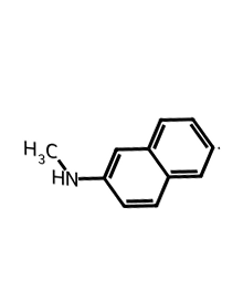 CNc1ccc2c[c]ccc2c1